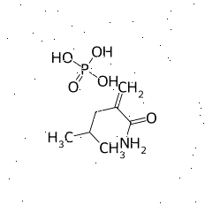 C=C(CC(C)C)C(N)=O.O=P(O)(O)O